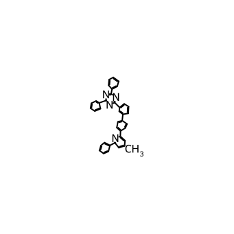 Cc1cc(-c2ccccc2)nc(-c2ccc(-c3cccc(-c4nc(-c5ccccc5)nc(-c5ccccc5)n4)c3)cc2)c1